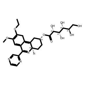 CCOC1=C(OC)C=C2C(c3cnccn3)=N[C@@H]3CC[C@@H](OC(=O)[C@H](O)[C@@H](O)[C@H](O)[C@H](O)CO)CC3=C2C1